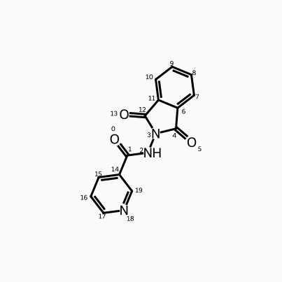 O=C(NN1C(=O)c2ccccc2C1=O)c1cccnc1